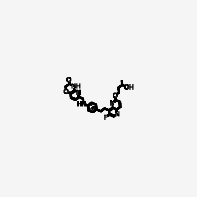 CC(O)CCOc1ccc2ncc(F)c(CCC34CCC(NCc5ccc6c(n5)NC(=O)CO6)(CC3)CO4)c2n1